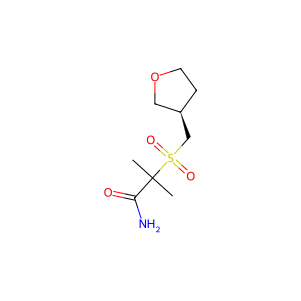 CC(C)(C(N)=O)S(=O)(=O)C[C@@H]1CCOC1